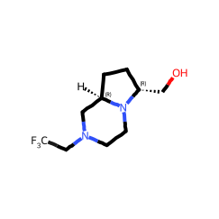 OC[C@H]1CC[C@@H]2CN(CC(F)(F)F)CCN21